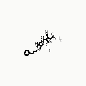 Cc1sc(C(N)=O)c(C#N)c1C(=O)N1CC2CN(CC[CH]c3ccccc3)C[C@H]2C1